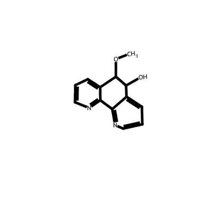 COC1c2cccnc2-c2ncccc2C1O